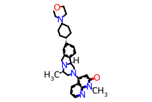 C[C@@H]1CN(c2cc(=O)n(C)c3ncccc23)C[C@@H]2c3ccc([C@H]4CC[C@H](N5CCOCC5)CC4)cc3CN12